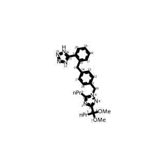 CCCc1nc(C(CCC)(OC)OC)nn1Cc1ccc(Cc2ccccc2-c2nnn[nH]2)cc1